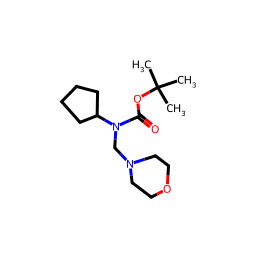 CC(C)(C)OC(=O)N(CN1CCOCC1)C1CCCC1